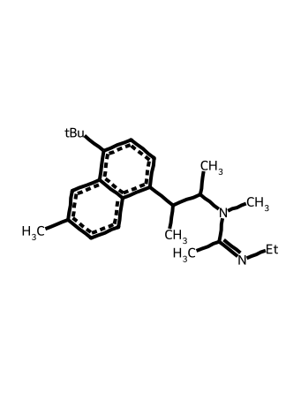 CC/N=C(/C)N(C)C(C)C(C)c1ccc(C(C)(C)C)c2cc(C)ccc12